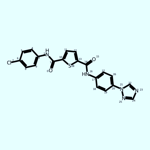 O=C(Nc1ccc(Cl)cc1)c1ccc(C(=O)Nc2ccc(-n3cncn3)cc2)s1